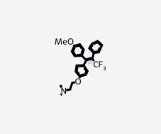 COc1ccc(/C(=C(\c2ccccc2)C(F)(F)F)c2ccc(OCCN(C)C)cc2)cc1